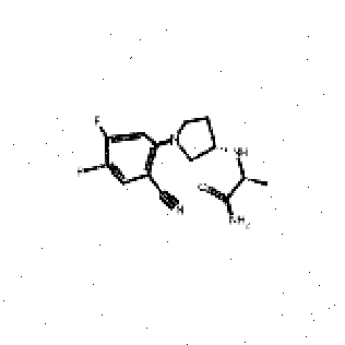 C[C@H](N[C@H]1CCN(c2cc(F)c(F)cc2C#N)C1)C(N)=O